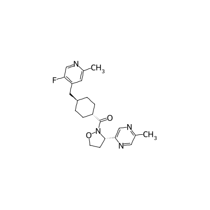 Cc1cnc([C@@H]2CCON2C(=O)[C@H]2CC[C@H](Cc3cc(C)ncc3F)CC2)cn1